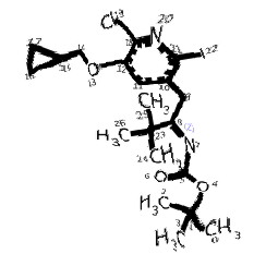 CC(C)(C)OC(=O)/N=C(/Cc1cc(OCC2CC2)c(Cl)nc1I)C(C)(C)C